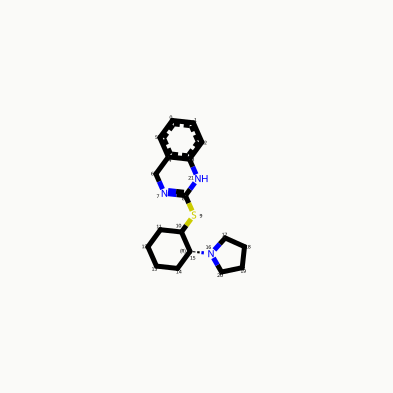 c1ccc2c(c1)CN=C(SC1CCCC[C@H]1N1CCCC1)N2